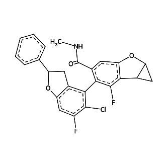 CNC(=O)c1cc2c(c(F)c1-c1c(Cl)c(F)cc3c1CC(c1ccccc1)O3)C1CC1O2